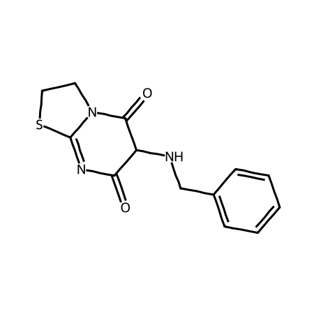 O=C1N=C2SCCN2C(=O)C1NCc1ccccc1